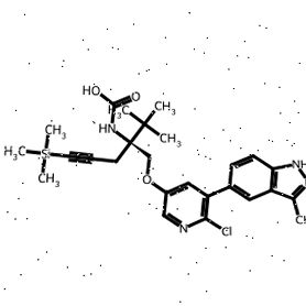 Cc1n[nH]c2ccc(-c3cc(OC[C@@](CC#C[Si](C)(C)C)(NC(=O)O)C(C)(C)C)cnc3Cl)cc12